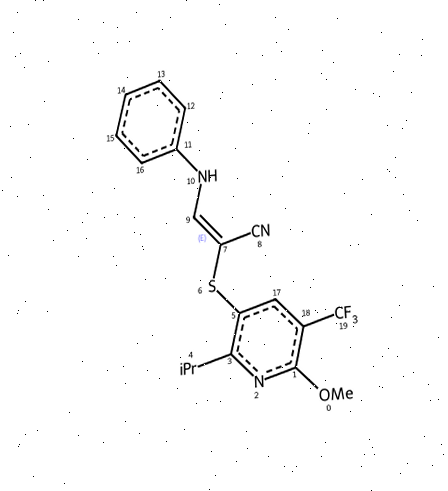 COc1nc(C(C)C)c(S/C(C#N)=C/Nc2ccccc2)cc1C(F)(F)F